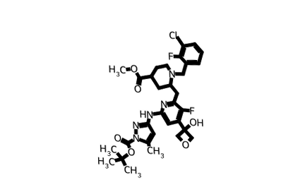 COC(=O)C1CCN(Cc2cccc(Cl)c2F)C(Cc2nc(Nc3cc(C)n(C(=O)OC(C)(C)C)n3)cc(C3(O)COC3)c2F)C1